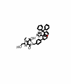 CCn1c(CO)nc(C(=O)OCc2ccc(-c3ccccc3-c3nnnn3C(c3ccccc3)(c3ccccc3)c3ccccc3)cc2)c1C(C)(C)O